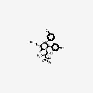 CC[C@@H]([C@@H](C)S(=O)(=O)C(C)C)N1C(=O)[C@H](CC(=O)O)O[C@H](c2cccc(Cl)c2)[C@H]1c1ccc(Cl)cc1